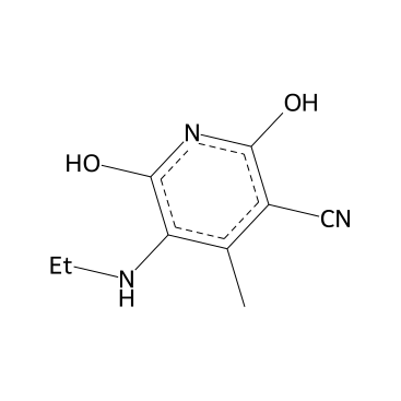 CCNc1c(O)nc(O)c(C#N)c1C